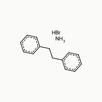 Br.N.c1ccc(CCc2ccccc2)cc1